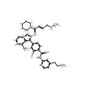 CCCc1ccnc(NC(=O)c2ccc(-c3nc([C@@H]4CCCCN4C(=O)/C=C/COC)n4ccnc(N)c34)cc2F)c1